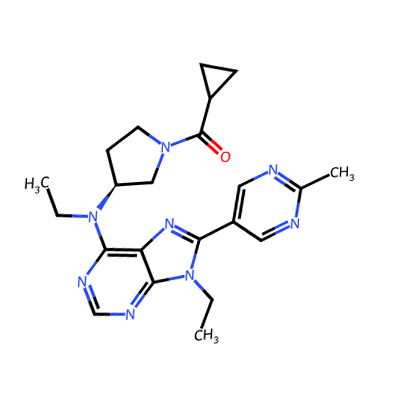 CCN(c1ncnc2c1nc(-c1cnc(C)nc1)n2CC)[C@H]1CCN(C(=O)C2CC2)C1